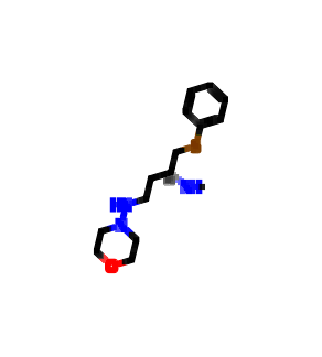 [NH][C@H](CCNN1CCOCC1)CSc1ccccc1